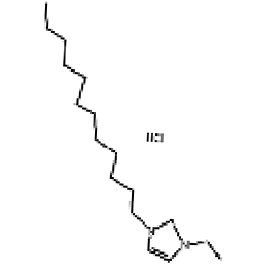 CCCCCCCCCCCCN1C=CN(CC)C1.Cl